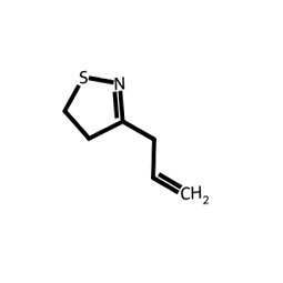 C=CCC1=NSCC1